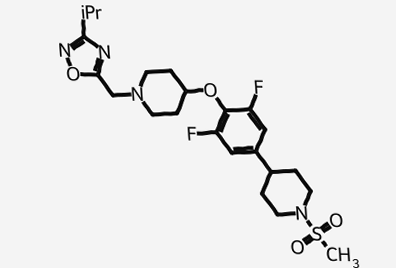 CC(C)c1noc(CN2CCC(Oc3c(F)cc(C4CCN(S(C)(=O)=O)CC4)cc3F)CC2)n1